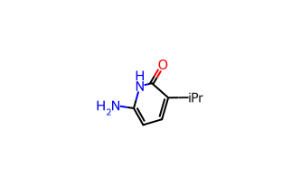 CC(C)c1ccc(N)[nH]c1=O